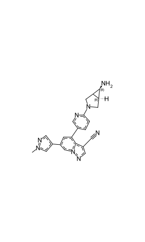 Cn1cc(-c2cc(-c3ccc(N4CC5[C@@H](N)[C@H]5C4)nc3)c3c(C#N)cnn3c2)cn1